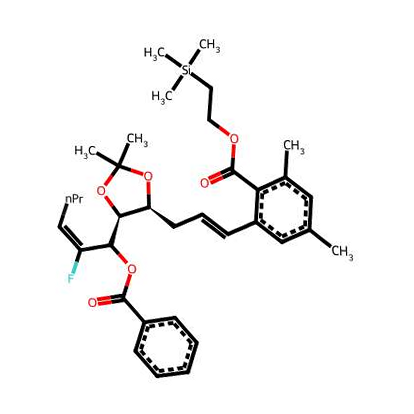 CCC/C=C(/F)C(OC(=O)c1ccccc1)[C@H]1OC(C)(C)O[C@H]1C/C=C/c1cc(C)cc(C)c1C(=O)OCC[Si](C)(C)C